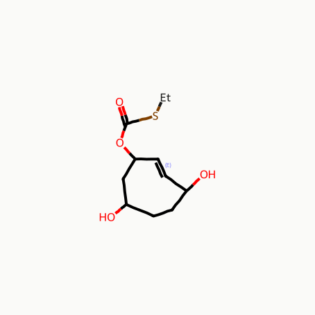 CCSC(=O)OC1/C=C/C(O)CCC(O)C1